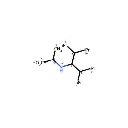 CC(C)C(C(C)C)C(N[C@H](C)C(=O)O)C(C(C)C)C(C)C